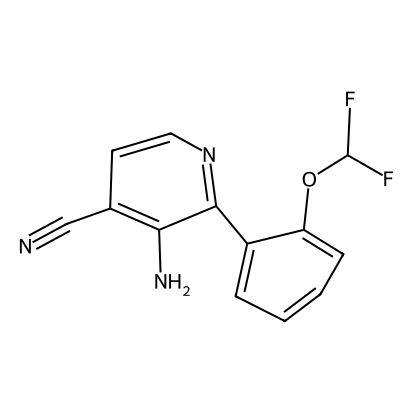 N#Cc1ccnc(-c2ccccc2OC(F)F)c1N